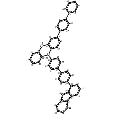 c1ccc(-c2ccc(-c3ccc4c(c3)Oc3ccccc3N4c3ccc(-c4ccc(-c5cccc6c5sc5ccccc56)cc4)cc3)cc2)cc1